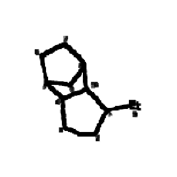 CCC1CCC2C3CCC(C3)C12